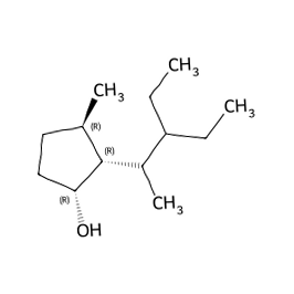 CCC(CC)C(C)[C@H]1[C@H](C)CC[C@H]1O